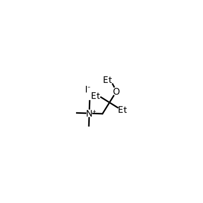 CCOC(CC)(CC)C[N+](C)(C)C.[I-]